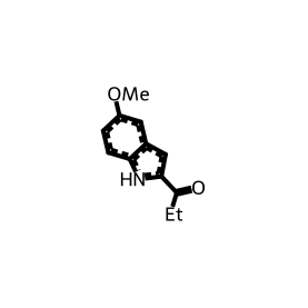 CCC(=O)c1cc2cc(OC)ccc2[nH]1